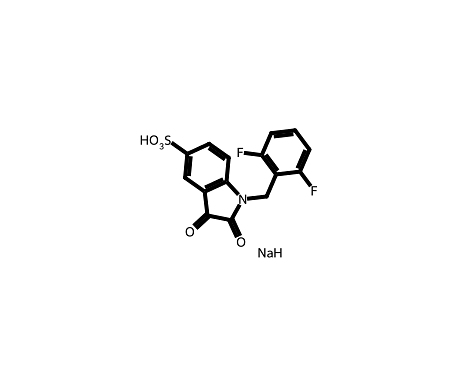 O=C1C(=O)N(Cc2c(F)cccc2F)c2ccc(S(=O)(=O)O)cc21.[NaH]